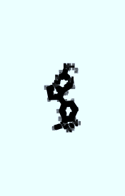 Cn1nnc2ccc(-c3ccn4nc(N)ncc34)cc21